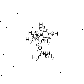 C=C(COCCN(C)S(=C)c1c(C)cc(O)cc1C)NC